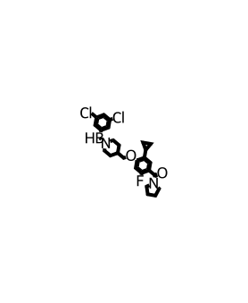 O=C(c1cc(C2CC2)c(OCC2CCN(Bc3cc(Cl)cc(Cl)c3)CC2)cc1F)N1CCCC1